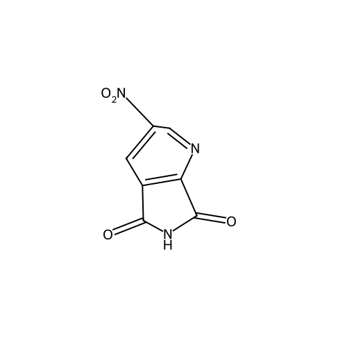 O=C1NC(=O)c2ncc([N+](=O)[O-])cc21